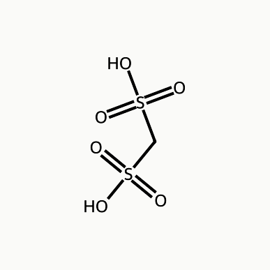 O=S(=O)(O)CS(=O)(=O)O